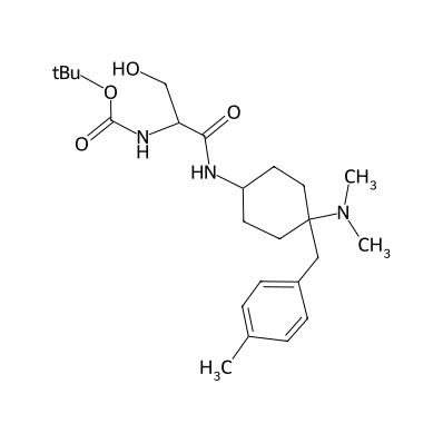 Cc1ccc(CC2(N(C)C)CCC(NC(=O)C(CO)NC(=O)OC(C)(C)C)CC2)cc1